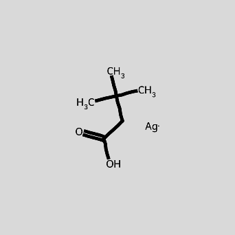 CC(C)(C)CC(=O)O.[Ag]